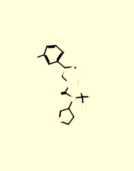 CO[C@@H](COC(=O)N(C1CCNC1)C(C)(C)C)c1cccc(F)c1